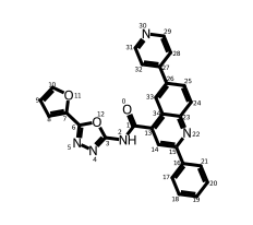 O=C(Nc1nnc(-c2ccco2)o1)c1cc(-c2ccccc2)nc2ccc(-c3ccncc3)cc12